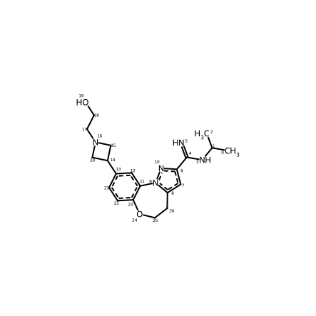 CC(C)NC(=N)c1cc2n(n1)-c1cc(C3CN(CCO)C3)ccc1OCC2